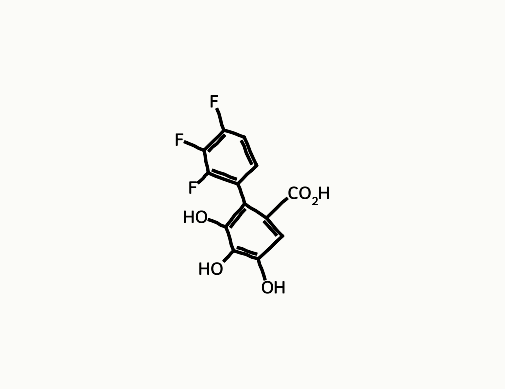 O=C(O)c1cc(O)c(O)c(O)c1-c1ccc(F)c(F)c1F